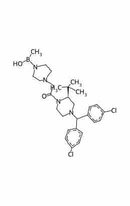 CB(O)N1CCN(CC(=O)N2CCN(C(c3ccc(Cl)cc3)c3ccc(Cl)cc3)C[C@@H]2C(C)(C)C)CC1